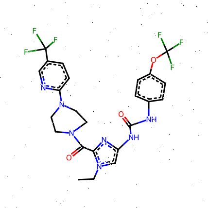 CCn1cc(NC(=O)Nc2ccc(OC(F)(F)F)cc2)nc1C(=O)N1CCN(c2ccc(C(F)(F)F)cn2)CC1